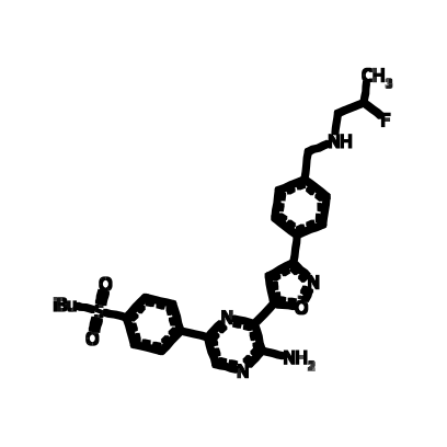 CCC(C)S(=O)(=O)c1ccc(-c2cnc(N)c(-c3cc(-c4ccc(CNCC(C)F)cc4)no3)n2)cc1